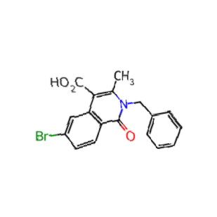 Cc1c(C(=O)O)c2cc(Br)ccc2c(=O)n1Cc1ccccc1